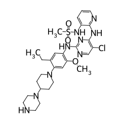 CCc1cc(Nc2ncc(Cl)c(Nc3ncccc3NS(C)(=O)=O)n2)c(OC)cc1N1CCC(N2CCNCC2)CC1